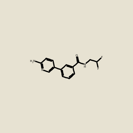 Nc1ccc(-c2cccc(C(=O)NCC(F)F)c2)cn1